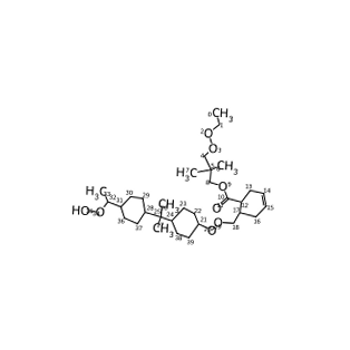 CCOOCC(C)(C)COC(=O)C1CC=CCC1COOC1CCC(C(C)(C)C2CCC(C(C)OO)CC2)CC1